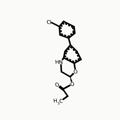 CCC(=O)O[C@H]1CNc2cc(-c3cccc(Cl)c3)ccc2O1